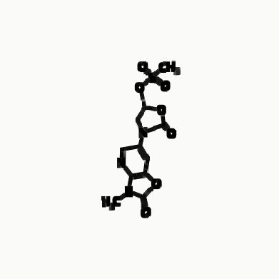 Cn1c(=O)oc2cc(N3CC(OS(C)(=O)=O)OC3=O)cnc21